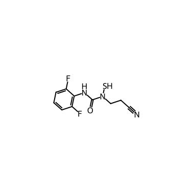 N#CCCN(S)C(=O)Nc1c(F)cccc1F